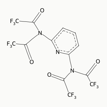 O=C(N(C(=O)C(F)(F)F)c1cccc(N(C(=O)C(F)(F)F)C(=O)C(F)(F)F)n1)C(F)(F)F